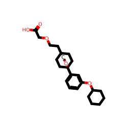 O=C(O)COCCC12CCC(c3cccc(OC4CCCCC4)c3)(CC1)OC2